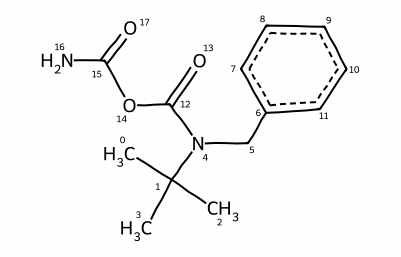 CC(C)(C)N(Cc1ccccc1)C(=O)OC(N)=O